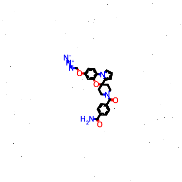 [N-]=[N+]=NCOc1ccc2c(c1)OC1(CCN(C(=O)c3ccc(C(N)=O)cc3)CC1)c1cccn1-2